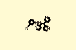 N#Cc1cccc(Nc2ncccc2CC(c2cccnc2)c2cccnc2)c1